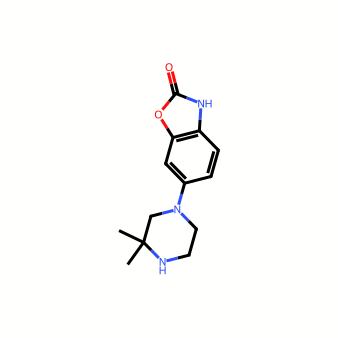 CC1(C)CN(c2ccc3[nH]c(=O)oc3c2)CCN1